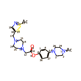 CC(=O)N1CCN(c2ccc(OC(=O)CN3CCN(CC4=CN=S(C(C)=O)S4)CC3)cc2)CC1